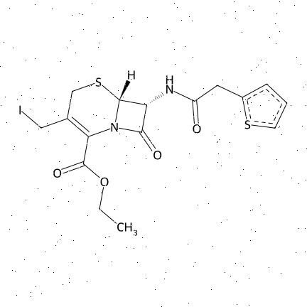 CCOC(=O)C1=C(CI)CS[C@@H]2[C@H](NC(=O)Cc3cccs3)C(=O)N12